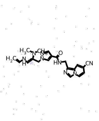 C=CN/C=C(/Cn1cc(C(=O)NCc2ncn3ccc(C#N)cc23)cn1)N(C)C